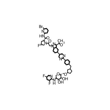 CC(=O)c1nn(CC(=O)N2C[C@H](F)C[C@H]2C(=O)Nc2cccc(Br)n2)c2ccc(-c3cnc(-c4ccc(CC5CCC(OC[C@H]6OC[C@H](Nc7ncc(F)cc7F)[C@@H](O)[C@H]6O)C5)cc4)nc3)cc12